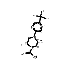 C[C@@H]1CN(c2cnc(C(F)(F)F)cn2)[C@H](C)CN1C(=O)O